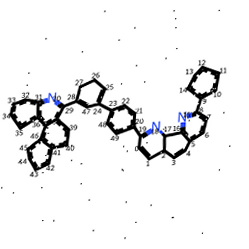 C1=CC2C=Cc3ccc(-c4ccccc4)nc3C2N=C1c1ccc(C2=CCCC(c3nc4ccccc4c4c3ccc3ccccc34)=C2)cc1